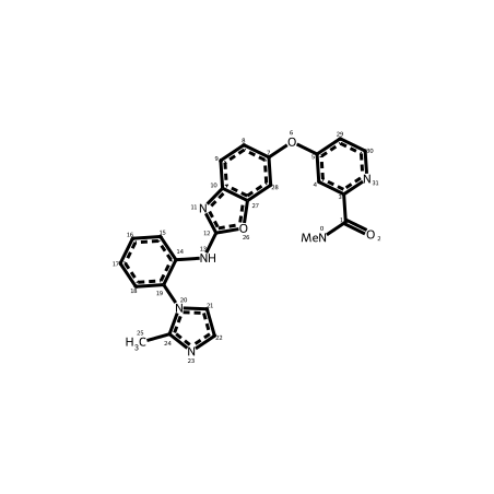 CNC(=O)c1cc(Oc2ccc3nc(Nc4ccccc4-n4ccnc4C)oc3c2)ccn1